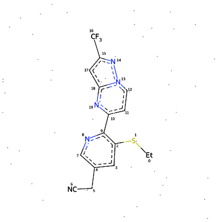 CCSc1cc(CC#N)cnc1-c1ccn2nc(C(F)(F)F)cc2n1